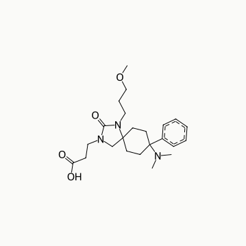 COCCCN1C(=O)N(CCC(=O)O)CC12CCC(c1ccccc1)(N(C)C)CC2